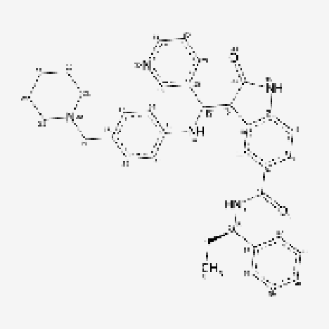 CC[C@@H](NC(=O)c1ccc2c(c1)C(=C(Nc1ccc(CN3CCCCC3)cc1)c1cccnc1)C(=O)N2)c1ccccc1